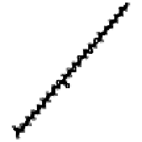 CCCCCCCCCCCCOCCOCCOCCOCCCC(=O)OCCCCCCCCCCCCCCCC(C)C